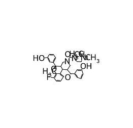 Cc1c(F)cccc1C1C(C(=O)c2cccc(O)c2)CN(C(=O)N(C)CCN(C)C)CC1C(=O)c1cccc(O)c1